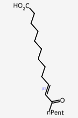 CCCCCC(=O)/C=C/CCCCCCCCC(=O)O